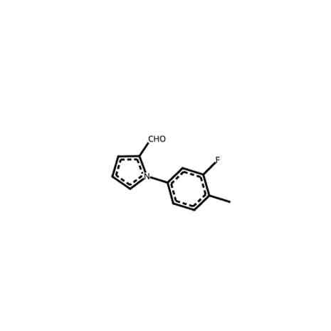 Cc1ccc(-n2cccc2C=O)cc1F